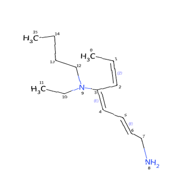 C\C=C/C(=C\C=C\CN)N(CC)CCCC